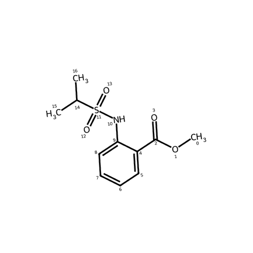 COC(=O)c1ccccc1NS(=O)(=O)C(C)C